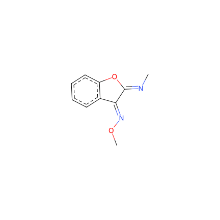 CN=C1Oc2ccccc2/C1=N\OC